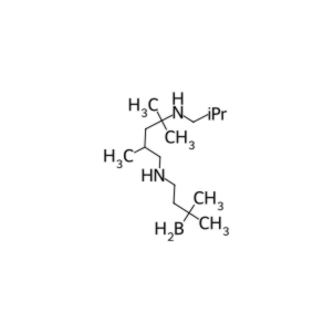 BC(C)(C)CCNCC(C)CC(C)(C)NCC(C)C